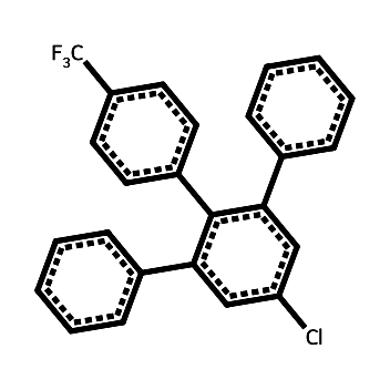 FC(F)(F)c1ccc(-c2c(-c3ccccc3)cc(Cl)cc2-c2ccccc2)cc1